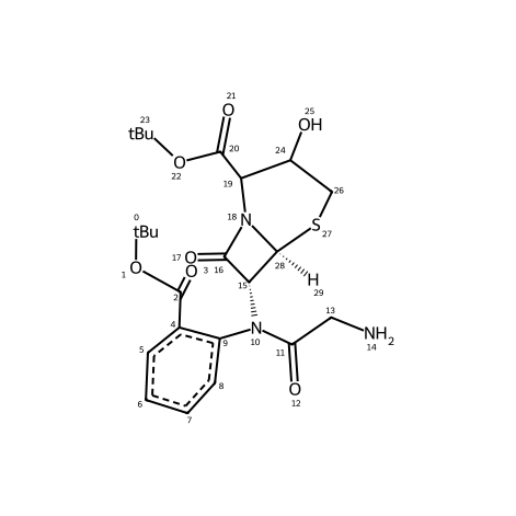 CC(C)(C)OC(=O)c1ccccc1N(C(=O)CN)[C@@H]1C(=O)N2C(C(=O)OC(C)(C)C)C(O)CS[C@@H]12